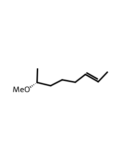 C/C=C/CCC[C@@H](C)OC